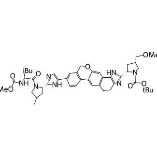 CCC(C)C(NC(=O)OC)C(=O)N1CC(C)C[C@H]1c1ncc(-c2ccc3c(c2)COc2cc4c(cc2-3)CCc2nc([C@@H]3C[C@H](COC)CN3C(=O)OC(C)(C)C)[nH]c2-4)[nH]1